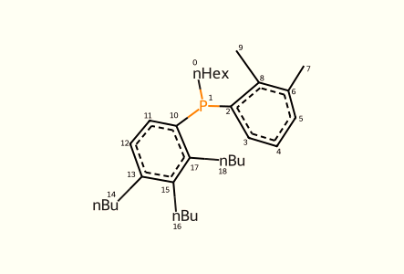 CCCCCCP(c1cccc(C)c1C)c1ccc(CCCC)c(CCCC)c1CCCC